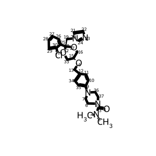 CN(C)C(=O)N1CCN(c2ccc(CO[C@H]3CO[C@@](Cn4ccnc4)(c4ccccc4Cl)OC3)cc2)CC1